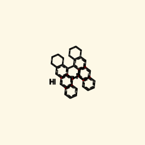 I.c1ccc(P(c2ccccc2)c2ccc3c(c2-c2c(P(c4ccccc4)c4ccccc4)ccc4c2CCCC4)CCCC3)cc1